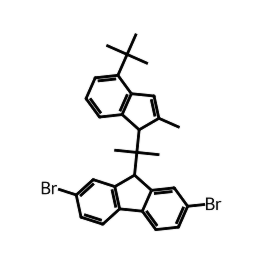 CC1=Cc2c(cccc2C(C)(C)C)C1C(C)(C)C1c2cc(Br)ccc2-c2ccc(Br)cc21